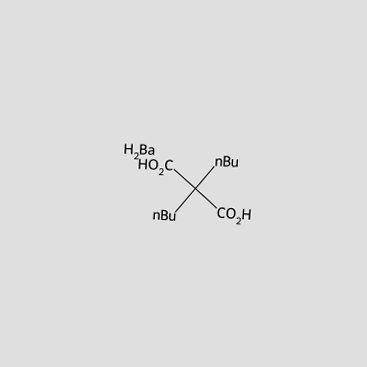 CCCCC(CCCC)(C(=O)O)C(=O)O.[BaH2]